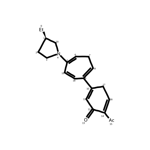 CC[C@@H]1CCN(C2=CCC=C(C3=CC(=O)C(C(C)=O)=CC3)C=C2)C1